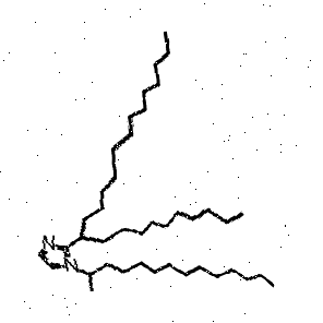 CCCCCCCCCCCCCC(CCCCCCCCCC)c1nccn1C(C)CCCCCCCCCCCC